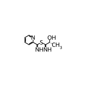 C[C@@H](O)C(=N)SC(=N)c1ccccn1